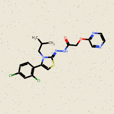 CC(C)Cn1c(-c2ccc(Cl)cc2Cl)cs/c1=N\NC(=O)COc1cnccn1